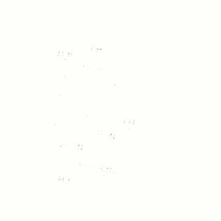 BC1(C)CCCC2/C(=N\C)N(C(C)C)CCC2CC1